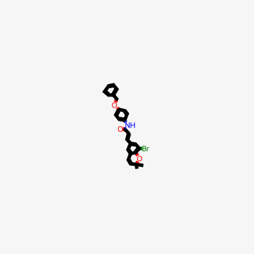 CC1(C)C=Cc2cc(/C=C/C(=O)Nc3ccc(OCc4ccccc4)cc3)cc(Br)c2O1